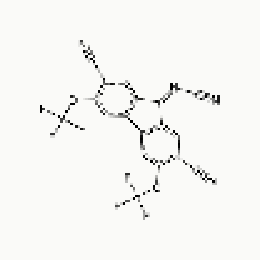 N#CN=C1c2cc(C#N)c(OC(F)(F)F)cc2-c2cc(OC(F)(F)F)c(C#N)cc21